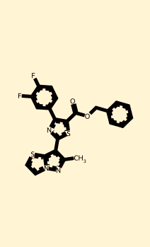 Cc1nn2ccsc2c1-c1nc(-c2ccc(F)c(F)c2)c(C(=O)OCc2ccccc2)s1